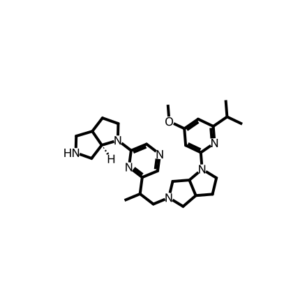 COc1cc(C(C)C)nc(N2CCC3CN(CC(C)c4cncc(N5CCC6CNC[C@@H]65)n4)CC32)c1